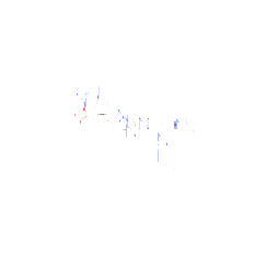 CSN1C2=C1C(N)C1(CCN(c3cnc(Sc4ccc5ncn(CC(C)C)c(=O)c5c4Cl)cn3)CC1)C2